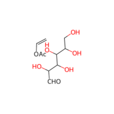 C=COC(C)=O.O=CC(O)C(O)C(O)C(O)CO